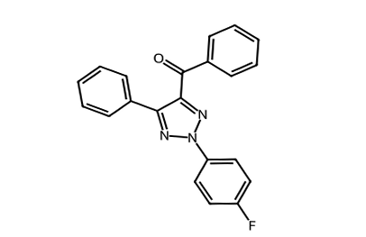 O=C(c1ccccc1)c1nn(-c2ccc(F)cc2)nc1-c1ccccc1